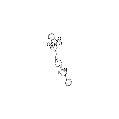 O=S1(=O)c2ccccc2S(=O)(=O)N1CCCCN1CCN(c2ncc(-c3ccccc3)cn2)CC1